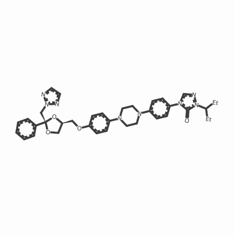 CCC(CC)n1ncn(-c2ccc(N3CCN(c4ccc(OC[C@H]5CO[C@](Cn6nccn6)(c6ccccc6)O5)cc4)CC3)cc2)c1=O